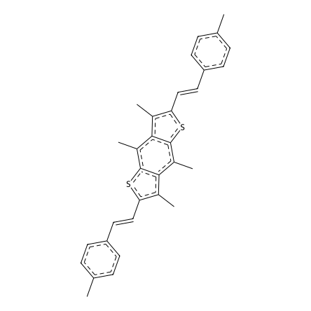 Cc1ccc(C=Cc2sc3c(C)c4c(C)c(C=Cc5ccc(C)cc5)sc4c(C)c3c2C)cc1